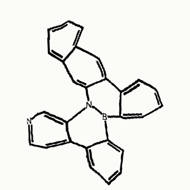 c1ccc2c(c1)B1c3ccccc3-c3cc4ccccc4cc3N1c1cnccc1-2